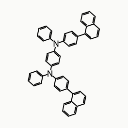 c1ccc(N(c2ccc(-c3cccc4ccccc34)cc2)c2ccc(N(c3ccccc3)c3ccc(-c4cccc5ccccc45)cc3)cc2)cc1